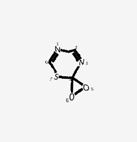 C1=NC=NC2(OO2)S1